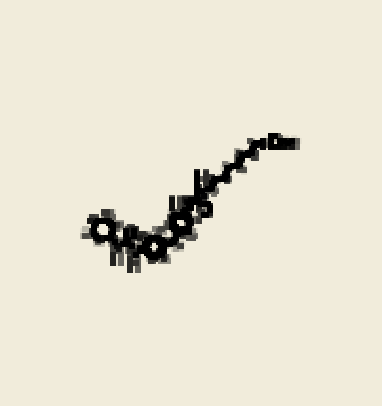 CCCCCCCCCCCCCCCCCCNC(=O)Nc1ccc(Cc2ccc(NC(=O)NC3CCCCC3)cc2)cc1